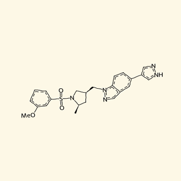 COc1cccc(S(=O)(=O)N2C[C@@H](Cn3ncc4cc(-c5cn[nH]c5)ccc43)C[C@H]2C)c1